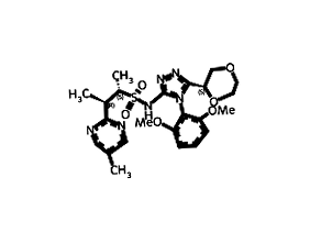 COc1cccc(OC)c1-n1c(NS(=O)(=O)[C@@H](C)[C@H](C)c2ncc(C)cn2)nnc1[C@H]1COCCO1